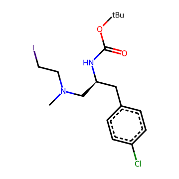 CN(CCI)C[C@H](Cc1ccc(Cl)cc1)NC(=O)OC(C)(C)C